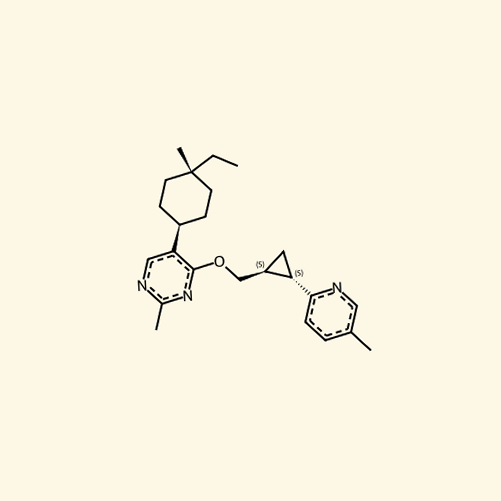 CC[C@]1(C)CC[C@@H](c2cnc(C)nc2OC[C@H]2C[C@@H]2c2ccc(C)cn2)CC1